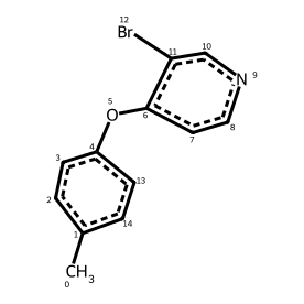 Cc1ccc(Oc2ccncc2Br)cc1